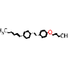 CCCC/C=C/[C@H]1CC[C@H](CC[C@H]2CC[C@H](OCCCC)CC2)CC1